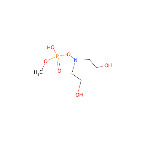 COP(=O)(O)ON(CCO)CCO